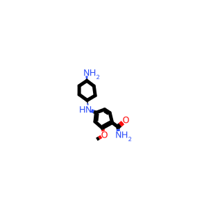 COc1cc(N[C@H]2CC[C@H](N)CC2)ccc1C(N)=O